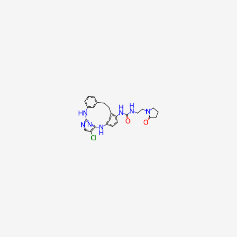 O=C(NCCN1CCCC1=O)Nc1ccc2cc1CCc1cccc(c1)Nc1ncc(Cl)c(n1)N2